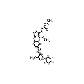 CCCc1c(CCC(=O)OCC)cnn1Cc1ccc(OCc2nc(-c3ccccc3)oc2C)cc1